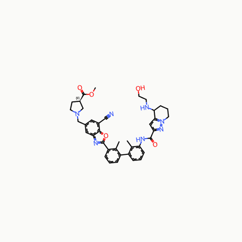 COC(=O)[C@@H]1CCN(Cc2cc(C#N)c3oc(-c4cccc(-c5cccc(NC(=O)c6cc7n(n6)CCCC7NCCO)c5C)c4C)nc3c2)C1